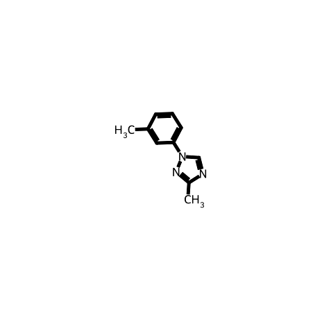 Cc1cccc(-n2cnc(C)n2)c1